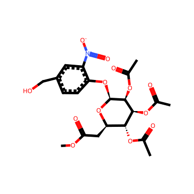 COC(=O)C[C@H]1O[C@@H](Oc2ccc(CO)cc2[N+](=O)[O-])[C@@H](OC(C)=O)[C@@H](OC(C)=O)[C@@H]1OC(C)=O